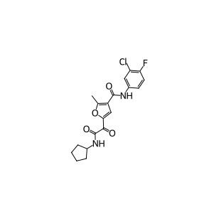 Cc1oc(C(=O)C(=O)NC2CCCC2)cc1C(=O)Nc1ccc(F)c(Cl)c1